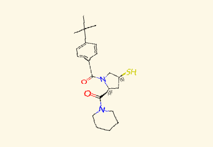 CC(C)(C)c1ccc(C(=O)N2C[C@@H](S)C[C@H]2C(=O)N2CCCCC2)cc1